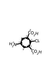 Nc1cc(C(=O)O)c(Cl)c(C(=O)O)c1